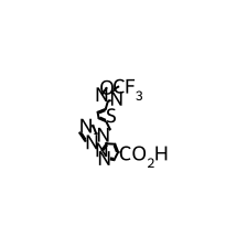 O=C(O)c1cnnc(N(Cc2ccc(-c3noc(C(F)(F)F)n3)s2)c2cnccn2)c1